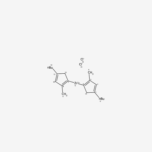 CCCCC1=CC(C)=[C]([Zr+2][C]2=C(C)C=C(CCCC)C2)C1.[Cl-].[Cl-]